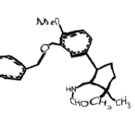 COc1ccc(C2CCC(C)(C)C2NC=O)cc1OCc1ccccc1